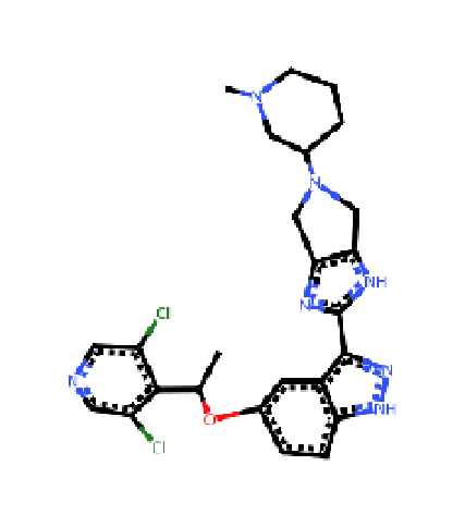 CC(Oc1ccc2[nH]nc(-c3nc4c([nH]3)CN(C3CCCN(C)C3)C4)c2c1)c1c(Cl)cncc1Cl